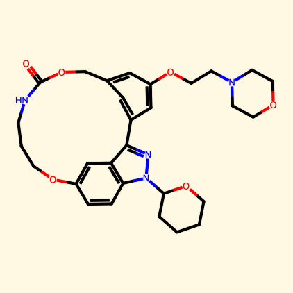 O=C1NCCCOc2ccc3c(c2)c(nn3C2CCCCO2)-c2cc(cc(OCCN3CCOCC3)c2)CO1